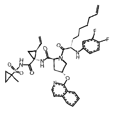 C=CCCCCC[C@H](Nc1ccc(F)c(F)c1)C(=O)N1C[C@H](Oc2nccc3ccccc23)C[C@H]1C(=O)N[C@]1(C(=O)NS(=O)(=O)C2(C)CC2)C[C@H]1C=C